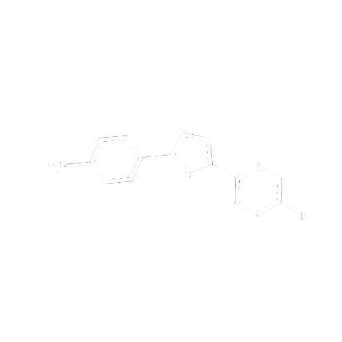 O=[N+]([O-])c1ccc(-c2csc(-c3ccc(Br)cc3)n2)cc1